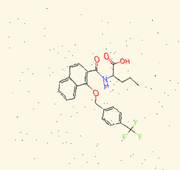 CCCC(NC(=O)c1ccc2ccccc2c1OCc1ccc(C(F)(F)F)cc1)C(=O)O